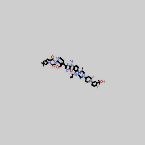 C=CC(=O)Nc1cc(Nc2nc(-c3ccnc(N4CCn5c(cc6c5CC(C)(C)C6)C4=O)c3CO)cn(C)c2=O)ccc1N1CCN(C2CCN(c3ccc(F)c(C(C)(C)O)c3)[C@@H](C)C2)C[C@@H]1C